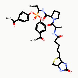 COC(=O)c1ccc(OP(=O)(Oc2ccc(C(=O)OC)cc2)C(CC(C)C)NC(=O)C2CCCN2C(=O)C(NC(=O)CCCCC2SCC3NC(=O)NC32)C(C)C)cc1